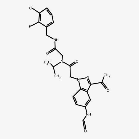 CC(=O)c1nn(CC(=O)N(CC(=O)NCc2cccc(Cl)c2F)C(C)C)c2ccc(NC=O)cc12